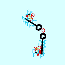 O=S(=O)(OC(F)(C(F)(F)C(F)(F)F)C(F)(F)C(F)(F)c1ccc(Oc2ccc(C(F)(F)C(F)(F)C(F)(OS(=O)(=O)C(F)(F)F)C(F)(F)C(F)(F)F)cc2)cc1)C(F)(F)F